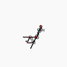 CCCCCCCCC(CCCCCCCC)OC(=O)CCCCCN(CCCCCC(=O)OC(CCCCCCCC)CCCCCCCC)C(=O)OCCSSCCOC(=O)NCCN1CCCCCC1